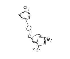 Nc1c[nH]c2ccc(OC3CC(c4ccc(C(F)(F)F)cc4)C3)cc12